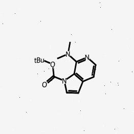 CN(C)c1nccc2ccn(C(=O)OC(C)(C)C)c12